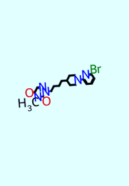 Cn1c(=O)cnn(CCCCC2CCN(c3cccc(Br)n3)CC2)c1=O